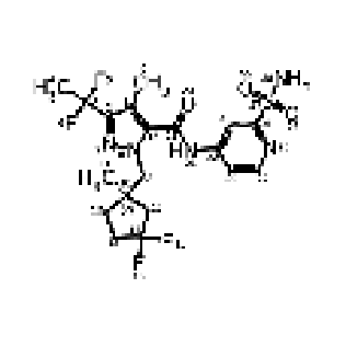 Cc1c(C(C)(F)F)nn(C[C@]2(C)CCC(F)(F)C2)c1C(=O)Nc1ccnc(S(N)(=O)=O)c1